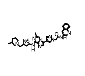 Cc1cn2c(-c3cnn(CC(=O)Nc4cnc5ccccc5c4)c3)cnc2c(NC2CC(CN3CCCC(C)C3)=NS2)n1